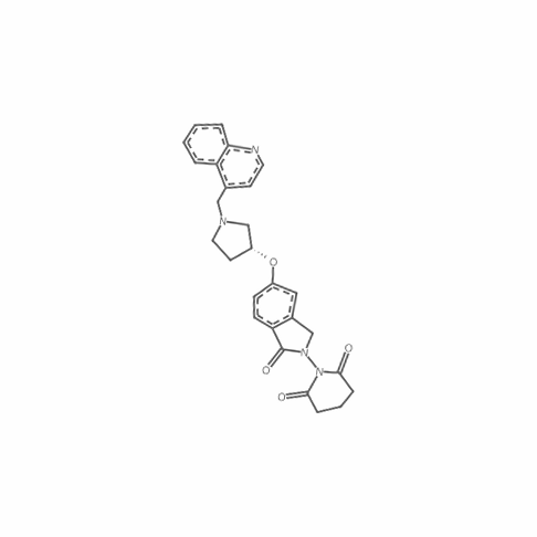 O=C1c2ccc(O[C@@H]3CCN(Cc4ccnc5ccccc45)C3)cc2CN1N1C(=O)CCCC1=O